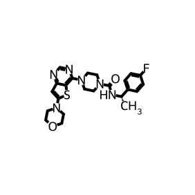 C[C@H](NC(=O)N1CCN(c2ncnc3cc(N4CCOCC4)sc23)CC1)c1ccc(F)cc1